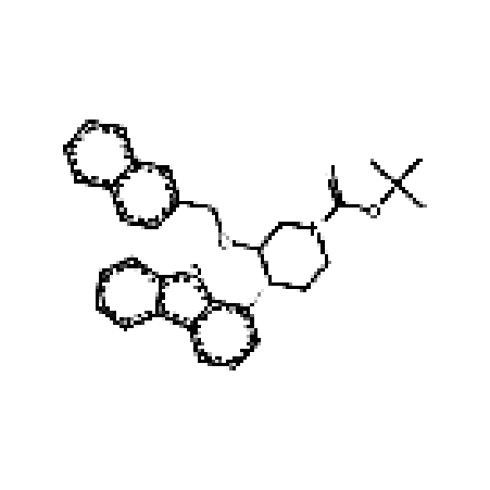 CC(C)(C)OC(=O)N1CC[C@H](c2cccc3c2oc2ccccc23)[C@@H](OCc2ccc3ccccc3c2)C1